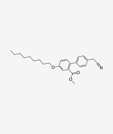 CCCCCCCCCOc1ccc(-c2ccc(CC#N)cc2)c(C(=O)OC)c1